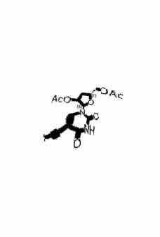 CC(=O)OC[C@H]1CC(OC(C)=O)[C@@H](n2cc(C#CI)c(=O)[nH]c2=O)O1